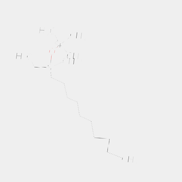 CCCCCCCCCC[Si](C)(CC)O[Si](C)(C)C